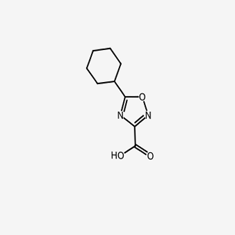 O=C(O)c1noc(C2CCCCC2)n1